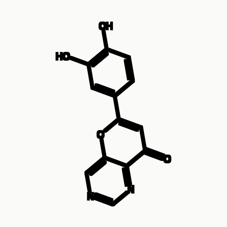 O=c1cc(-c2ccc(O)c(O)c2)oc2cncnc12